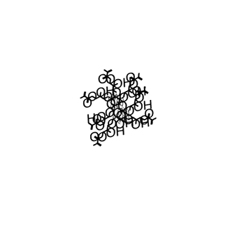 C=C(C)C(=O)OCC(O)COC[C@H]1O[C@H](O[C@H]2[C@H](OCC(O)COC(=O)C(=C)C)[C@@H](OCC(O)COC(=O)C(=C)C)[C@H](OCC(O)COC(=O)C(=C)C)O[C@@H]2COCC(O)COC(=O)C(=C)C)[C@H](OCC(O)COC(=O)C(=C)C)[C@@H](OCC(O)COC(=O)C(=C)C)[C@@H]1O